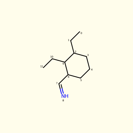 CCC1CCCC(C=N)C1CC